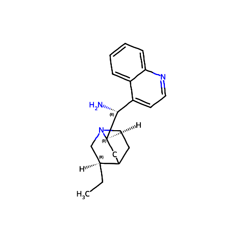 CC[C@H]1CN2CCC1C[C@@H]2[C@H](N)c1ccnc2ccccc12